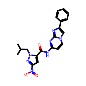 CC(C)Cn1nc([N+](=O)[O-])cc1C(=O)Nc1ccn2cc(-c3ccccc3)nc2n1